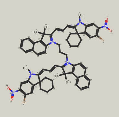 CN1/C(=C/C=C/C2=[N+](CCC[N+]3=C(/C=C/C=C4/N(C)c5cc([N+](=O)[O-])c(Br)cc5C45CCCCC5)C(C)(C)c4c3ccc3ccccc43)c3ccc4ccccc4c3C2(C)C)C2(CCCCC2)c2cc(Br)c([N+](=O)[O-])cc21